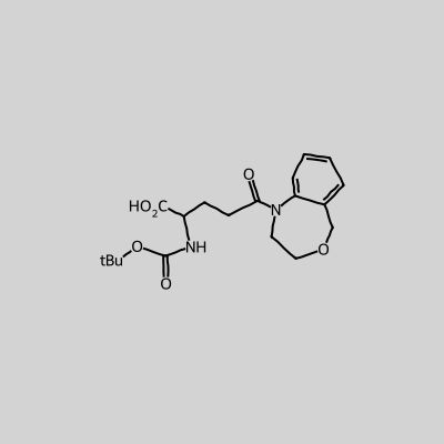 CC(C)(C)OC(=O)NC(CCC(=O)N1CCOCc2ccccc21)C(=O)O